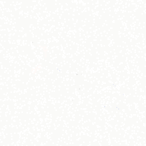 Cn1nnnc1C1[C@H]2CN(C(=O)OC(C)(C)C)C[C@@H]12